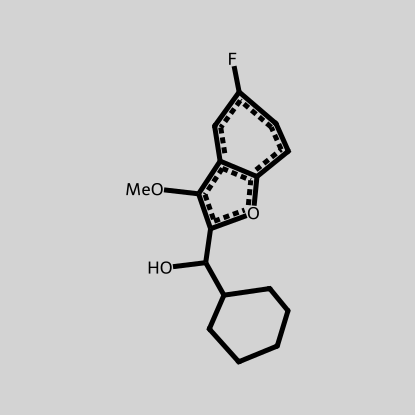 COc1c(C(O)C2CCCCC2)oc2ccc(F)cc12